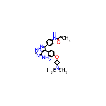 C=CC(=O)Nc1ccc(-c2nn3ncnc(N)c3c2-c2ccc(OC3CC(N(C)C)C3)cc2)cc1